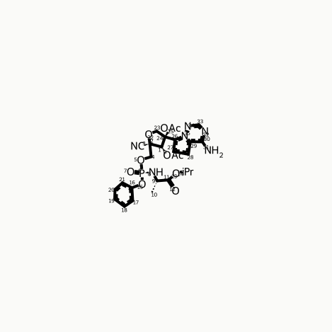 CC(=O)O[C@@H]1[C@@](C#N)(CO[P@@](=O)(N[C@@H](C)C(=O)OC(C)C)Oc2ccccc2)OC[C@]1(OC(C)=O)c1ccc2c(N)ncnn12